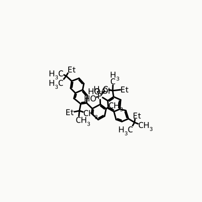 CCC(C)(C)c1ccc2cc(-c3cccc(C)c3P(O)(O)(O)c3cc4ccc(C(C)(C)CC)cc4cc3C(C)(C)CC)c(C(C)(C)CC)cc2c1